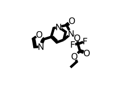 CCOC(=O)C(F)(F)ON1C(=O)N2CC(c3ncco3)=CC1C2